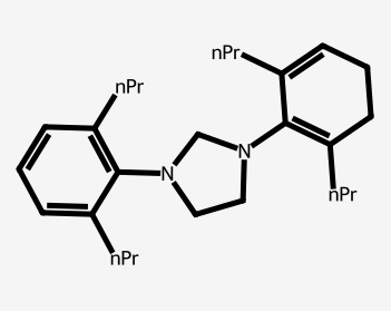 CCCC1=CCCC(CCC)=C1N1CCN(c2c(CCC)cccc2CCC)C1